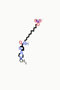 CN1CCN(c2ccc(C(=O)NCCCCCCCCCCCO[N+](=O)[O-])cn2)CC1